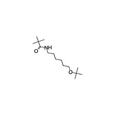 CC(C)(C)OCCCCCCNC(=O)C(C)(C)C